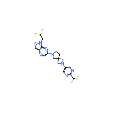 FC(F)Cn1ncc2ncc(N3CCC4(CN(c5cnc(C(F)F)nc5)C4)C3)nc21